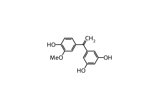 C=C(c1cc(O)cc(O)c1)c1ccc(O)c(OC)c1